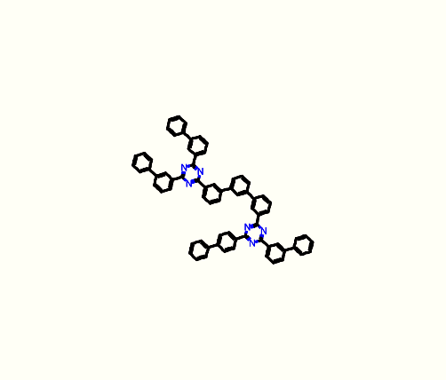 c1ccc(-c2ccc(-c3nc(-c4cccc(-c5ccccc5)c4)nc(-c4cccc(-c5cccc(-c6cccc(-c7nc(-c8cccc(-c9ccccc9)c8)nc(-c8cccc(-c9ccccc9)c8)n7)c6)c5)c4)n3)cc2)cc1